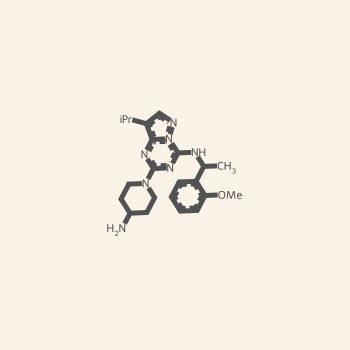 COc1ccccc1C(C)Nc1nc(N2CCC(N)CC2)nc2c(C(C)C)cnn12